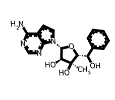 C[C@@]1(O)[C@@H](C(O)c2ccccc2)O[C@@H](n2ccc3c(N)ncnc32)[C@@H]1O